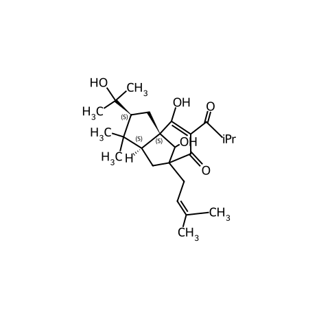 CC(C)=CCC12C[C@H]3C(C)(C)[C@@H](C(C)(C)O)C[C@@]3(C(O)=C(C(=O)C(C)C)C1=O)C2O